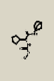 CC(C)(C)OC(=O)N[C@@H](C(=O)NC12CCC(C1)C2)C1CCCC1